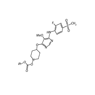 COc1c(Nc2ccc(S(C)(=O)=O)cc2F)ncnc1OC1CCN(OC(=O)OC(C)C)CC1